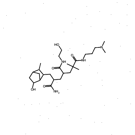 CC1C2CC(O)C(C2)C1CC(CC(CC(C)(C)C(=O)NCCCN(C)C)C(=O)NCCO)C(N)=O